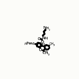 CCCCCc1cc(OC(=O)NCCCCN)c2c(c1)OC(C)[C@@H]1CCC(C)=C[C@@H]21